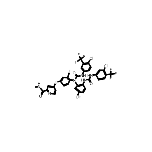 CNC(=O)c1cc(Oc2ccc(N(C(=O)Nc3ccc(Cl)c(C(F)(F)F)c3)c3cc(O)ccc3NC(=O)Nc3ccc(C(F)(F)F)c(Cl)c3)c(F)c2)ccn1